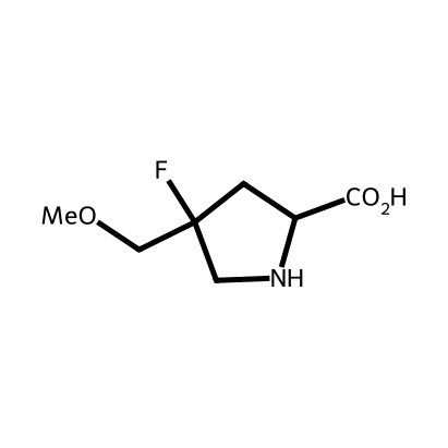 COCC1(F)CNC(C(=O)O)C1